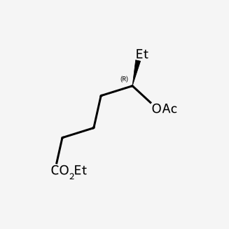 CCOC(=O)CCC[C@@H](CC)OC(C)=O